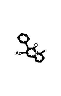 CC(=O)c1cc2cccc(C)n2c(=O)c1-c1ccccc1